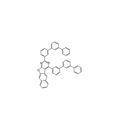 c1ccc(-c2cccc(-c3cccc(-c4nc(-c5cccc(-c6cccc(-c7ccccc7)c6)c5)c5c(n4)oc4cc6ccccc6cc45)c3)c2)cc1